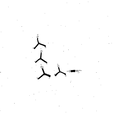 CC(C)[O-].CC(C)[O-].CC(C)[O-].CC(C)[O-].[O]=[W+4]